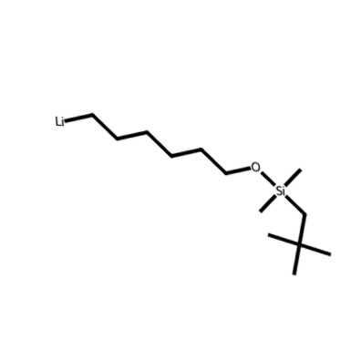 [Li][CH2]CCCCCO[Si](C)(C)CC(C)(C)C